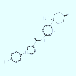 N#CC1(c2ccc(NC(=O)c3ccn(-c4ccc(F)cc4)c3)cn2)CCC(=O)CC1